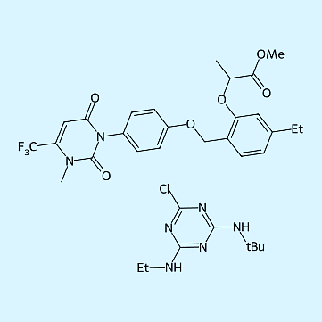 CCNc1nc(Cl)nc(NC(C)(C)C)n1.CCc1ccc(COc2ccc(-n3c(=O)cc(C(F)(F)F)n(C)c3=O)cc2)c(OC(C)C(=O)OC)c1